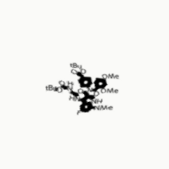 CNc1cc(F)cc2c(NCCNC(=O)OC(C)(C)C)c(C(=O)N(Cc3ccc(OC)cc3OC)c3ccc(C(=O)OC(C)(C)C)cc3)c(=O)[nH]c12